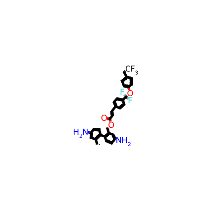 [CH2]c1cc(N)ccc1-c1ccc(N)cc1COC(=O)/C=C/c1ccc(C(F)(F)Oc2ccc(CC(F)(F)F)cc2)cc1